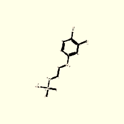 CC(C)(C)[Si](C)(C)OCCOc1ccc(F)c(Br)c1